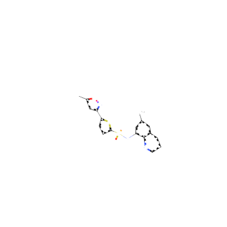 COc1cc(NS(=O)(=O)c2ccc(-c3cc(C(F)(F)F)on3)s2)c2ncccc2c1